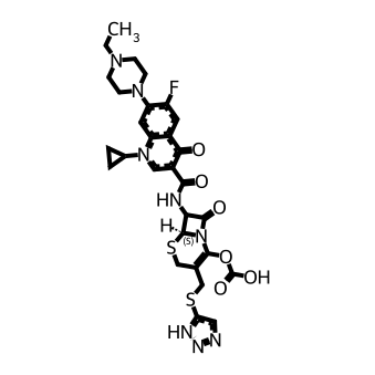 CCN1CCN(c2cc3c(cc2F)c(=O)c(C(=O)NC2C(=O)N4C(OC(=O)O)=C(CSc5cnn[nH]5)CS[C@@H]24)cn3C2CC2)CC1